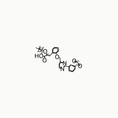 CC(C)(C)[Si](C)(C)O[C@@H](Cc1ccccc1OCc1ccnc(-c2cccc(S(C)(=O)=O)c2)n1)C(=O)O